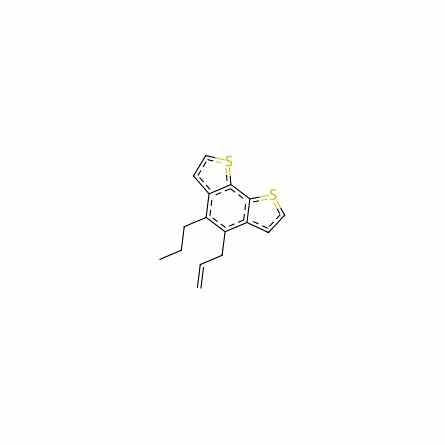 C=CCc1c(CCC)c2ccsc2c2sccc12